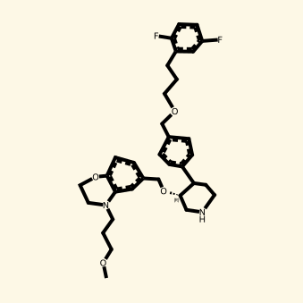 COCCCN1CCOc2ccc(CO[C@H]3CNCCC3c3ccc(COCCCc4cc(F)ccc4F)cc3)cc21